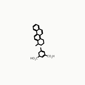 CC1=CC(C(=O)O)=CC(C(=O)O)C1.CC1CCCc2c1ccc1c2ccc2ccccc21